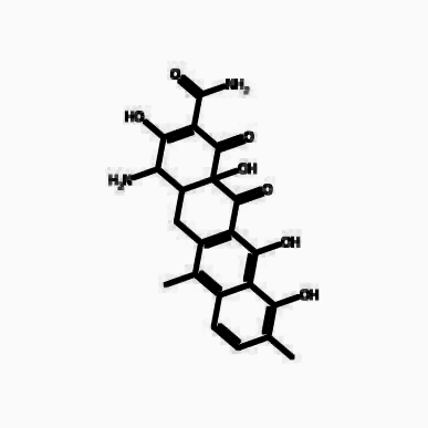 Cc1ccc2c(C)c3c(c(O)c2c1O)C(=O)C1(O)C(=O)C(C(N)=O)=C(O)C(N)C1C3